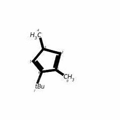 CC1=[C]C(C)C=C1C(C)(C)C